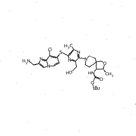 Cc1nc(N2CCC3(CC2)CO[C@@H](C)[C@H]3NC(=O)OC(C)(C)C)c(CO)nc1Sc1ccn2cc(CN)nc2c1Cl